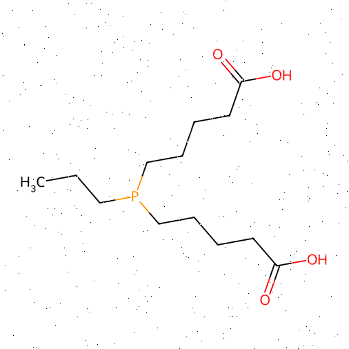 CCCP(CCCCC(=O)O)CCCCC(=O)O